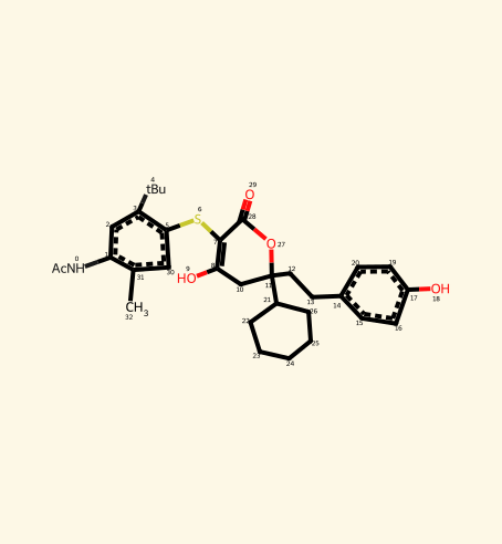 CC(=O)Nc1cc(C(C)(C)C)c(SC2=C(O)CC(CCc3ccc(O)cc3)(C3CCCCC3)OC2=O)cc1C